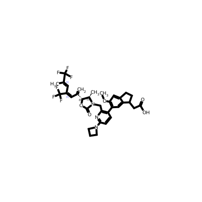 C=C(/C=C(\C=C(/C)C(F)(F)F)C(F)(F)F)[C@H]1OC(=O)N(Cc2nc(N3CCC3)ccc2-c2cc3c(cc2OC)CCC3CC(=O)O)[C@H]1C